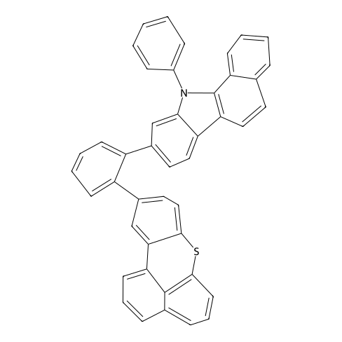 c1ccc(-n2c3cc(-c4ccccc4-c4ccc5c(c4)-c4cccc6cccc(c46)S5)ccc3c3ccc4ccccc4c32)cc1